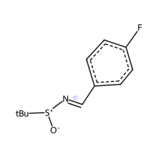 CC(C)(C)[S+]([O-])/N=C/c1ccc(F)cc1